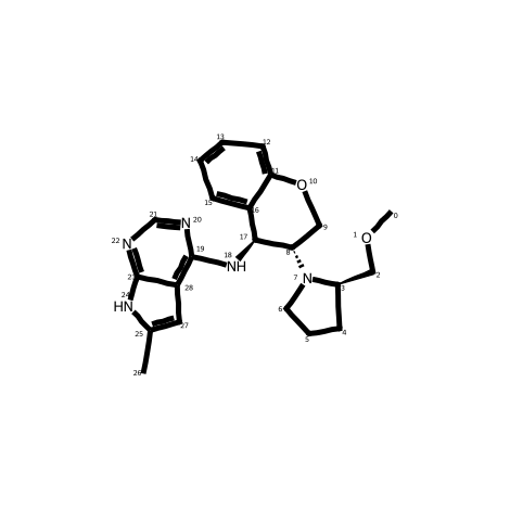 COC[C@H]1CCCN1[C@H]1COc2ccccc2[C@@H]1Nc1ncnc2[nH]c(C)cc12